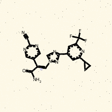 N#Cc1ncc(/C(=C\n2cnc(-c3cc(C4CC4)nc(C(F)(F)F)c3)n2)C(N)=O)cn1